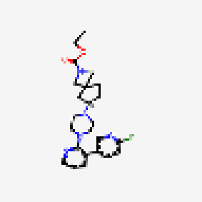 CCOC(=O)N1CC2(CC[C@@H](N3CCN(c4ncccc4-c4ccc(F)nc4)CC3)C2)C1